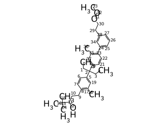 CCC(CC)(c1ccc(CCC(O)C(C)(C)C)c(C)c1)c1ccc(-c2cccc(CCOOC)c2)c(C)c1